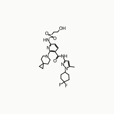 Cc1cc(NC(=O)c2ccc(NS(=O)(=O)CCO)nc2N2CCC3(CC2)CC3)nn1C1CCC(F)(F)CC1